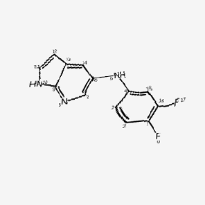 Fc1ccc(Nc2cnc3[nH]ccc3c2)cc1F